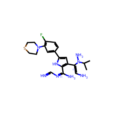 CC(C)N(N)/C(=C\N)c1cc(-c2ccc(F)c(N3CCSCC3)c2)[nH]c1/C(N)=N\C=N